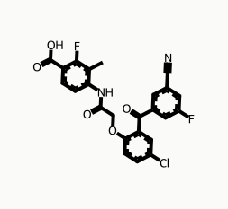 Cc1c(NC(=O)COc2ccc(Cl)cc2C(=O)c2cc(F)cc(C#N)c2)ccc(C(=O)O)c1F